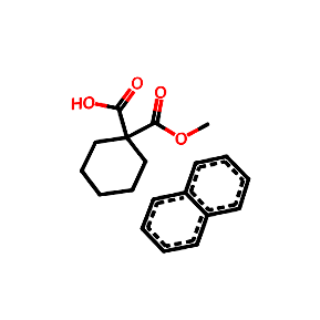 COC(=O)C1(C(=O)O)CCCCC1.c1ccc2ccccc2c1